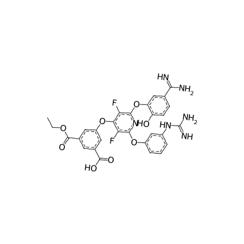 CCOC(=O)c1cc(Oc2c(F)c(Oc3cccc(NC(=N)N)c3)nc(Oc3cc(C(=N)N)ccc3O)c2F)cc(C(=O)O)c1